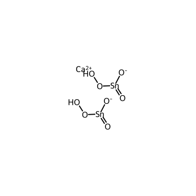 [Ca+2].[O]=[Sn]([O-])[O]O.[O]=[Sn]([O-])[O]O